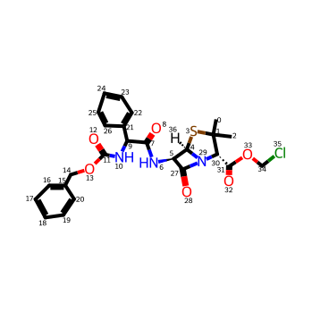 CC1(C)S[C@@H]2[C@H](NC(=O)C(NC(=O)OCc3ccccc3)c3ccccc3)C(=O)N2[C@H]1C(=O)OCCl